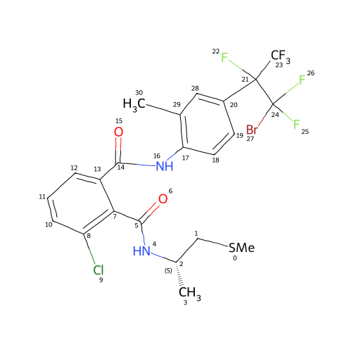 CSC[C@H](C)NC(=O)c1c(Cl)cccc1C(=O)Nc1ccc(C(F)(C(F)(F)F)C(F)(F)Br)cc1C